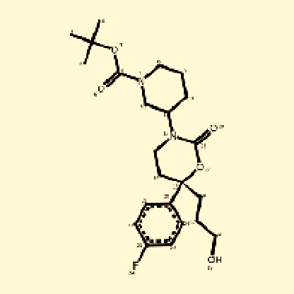 CC(C)(C)OC(=O)N1CCCC(N2CC[C@@](CCCO)(c3ccc(F)cc3)OC2=O)C1